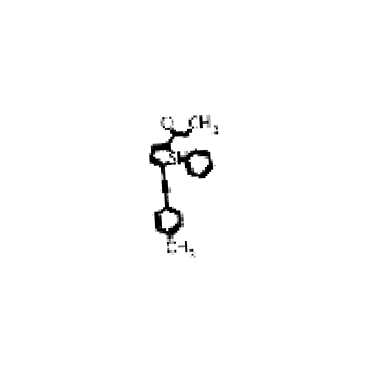 CCC(=O)C1=CC=C(C#Cc2ccc(C)cc2)[SH]1c1ccccc1